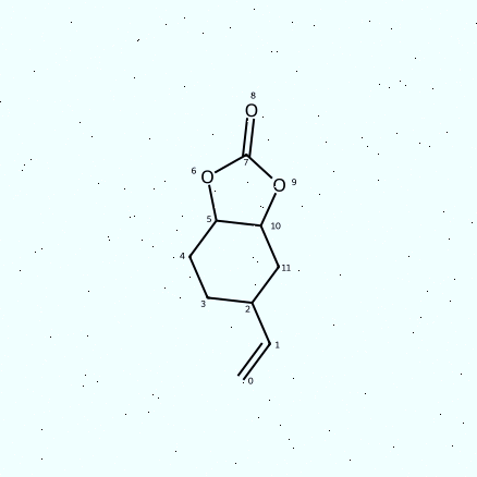 C=CC1CCC2OC(=O)OC2C1